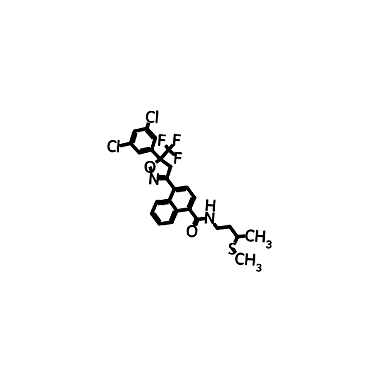 CSC(C)CCNC(=O)c1ccc(C2=NOC(c3cc(Cl)cc(Cl)c3)(C(F)(F)F)C2)c2ccccc12